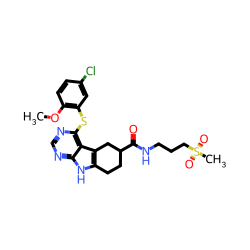 COc1ccc(Cl)cc1Sc1ncnc2[nH]c3c(c12)CC(C(=O)NCCCS(C)(=O)=O)CC3